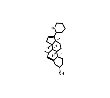 C[C@@H]1C=C2C[C@H](O)CC[C@]2(C)[C@H]2CC[C@]3(C)C(C4CCCCN4)=CC[C@H]3[C@H]12